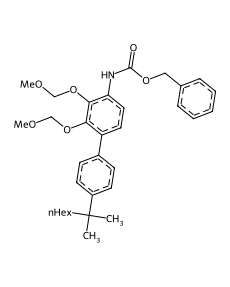 CCCCCCC(C)(C)c1ccc(-c2ccc(NC(=O)OCc3ccccc3)c(OCOC)c2OCOC)cc1